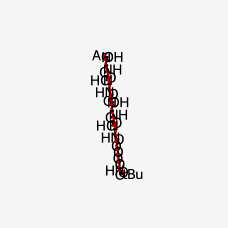 CC(=O)N(O)CCCCCNC(=O)CCC(=O)N(O)CCCCCNC(=O)CCC(=O)N(O)CCCCCNC(=O)CCC(=O)N(O)CCCCCNC(=O)CCOCCOCCOCCOCCNC(=O)OC(C)(C)C